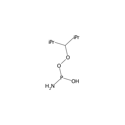 CC(C)C(OOP(N)O)C(C)C